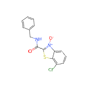 O=C(NCc1ccccc1)c1sc2c(Cl)cccc2[n+]1[O-]